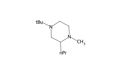 CCCC1CN(C(C)(C)C)CCN1C